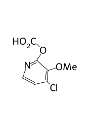 COc1c(Cl)ccnc1OC(=O)O